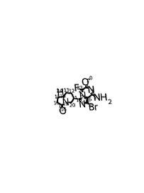 COC1N=C(N)c2c(Br)nc([C@@H]3CC[C@H]4CCC(=O)N4C3)n2C1F